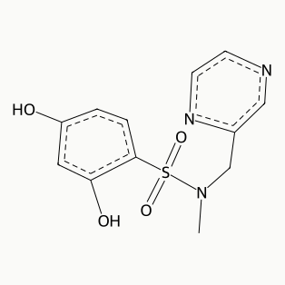 CN(Cc1cnccn1)S(=O)(=O)c1ccc(O)cc1O